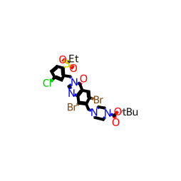 CCS(=O)(=O)c1ccc(Cl)cc1Cn1cnc2c(Br)c(CN3CCN(C(=O)OC(C)(C)C)CC3)c(Br)cc2c1=O